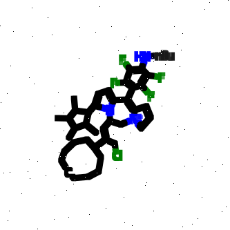 CCCCNc1c(F)c(F)c(C2=C3C=CC=[N+]3CC(/C=C(\CCl)C3CCCCCCCCC3)n3c2ccc3C2C(C)C(C)C(C)C2C)c(F)c1F